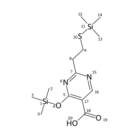 C[Si](C)(C)Oc1nc(CCS[Si](C)(C)C)ncc1C(=O)O